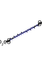 CC(=O)CCC(=O)OC/C(C)=C/CC/C(C)=C/C=C/C(C)=C/C=C/C(C)=C/C=C/C=C(C)/C=C/C=C(C)/C=C/C=C(\C)CC/C=C(\C)COC(=O)CCC(=O)O